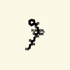 CC(C)(COC(=O)c1ccccc1)C(O)C(=O)NCCC(=O)NCCS